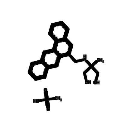 CC(CO)(CO)NCc1cc2ccccc2c2cc3ccccc3cc12.CS(=O)(=O)O